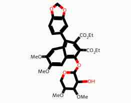 CCOC(=O)c1c(C(=O)OCC)c(-c2ccc3c(c2)OCO3)c2cc(OC)c(OC)cc2c1OC1OCC(OC)C(OC)C1O